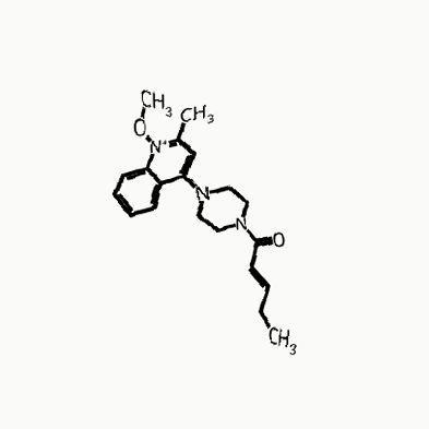 CC/C=C/C(=O)N1CCN(c2cc(C)[n+](OC)c3ccccc23)CC1